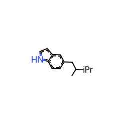 CC(C)C(C)Cc1ccc2[nH]ccc2c1